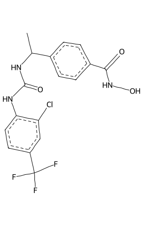 CC(NC(=O)Nc1ccc(C(F)(F)F)cc1Cl)c1ccc(C(=O)NO)cc1